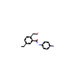 [CH2]Cc1ccc(CCO)c(C(=O)Nc2ccc(I)cc2)c1